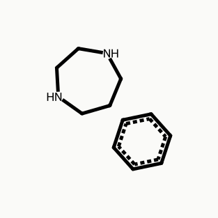 C1CNCCNC1.c1ccccc1